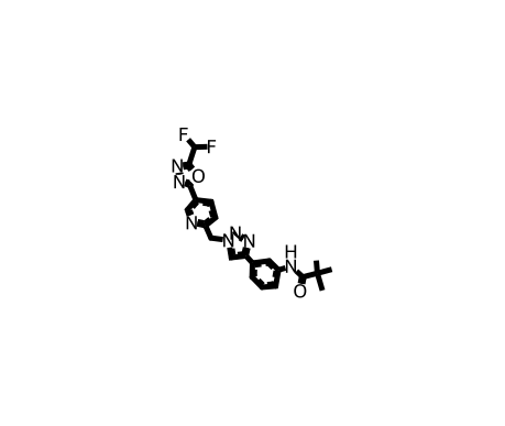 CC(C)(C)C(=O)Nc1cccc(-c2cn(Cc3ccc(-c4nnc(C(F)F)o4)cn3)nn2)c1